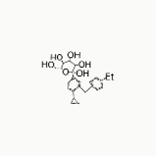 CCc1ccc(Cc2cc([C@]3(O)O[C@H](CO)[C@@H](O)[C@H](O)[C@H]3O)ccc2C2CC2)cc1